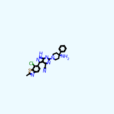 Cc1nc2ccc(-c3n[nH]c4nc(N5CCC(N)(c6ccccc6)CC5)nc(C#N)c34)c(Cl)c2s1